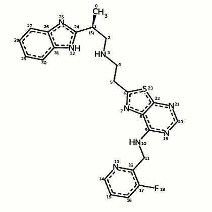 C[C@@H](CNCCc1nc2c(NCc3ncccc3F)ncnc2s1)c1nc2ccccc2[nH]1